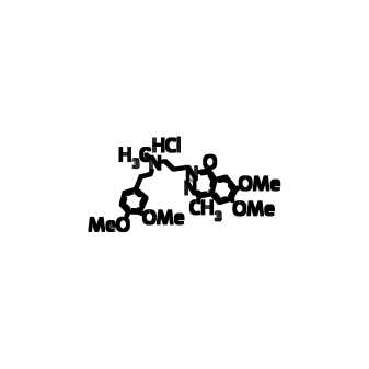 COc1ccc(CCN(C)CCCn2nc(C)c3cc(OC)c(OC)cc3c2=O)cc1OC.Cl